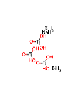 [BiH3].[BiH3].[NaH].[O]=[Ti]([OH])[OH].[O]=[Ti]([OH])[OH].[O]=[Ti]([OH])[OH]